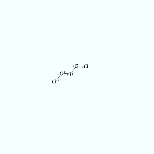 Cl[O][Ti][O]Cl